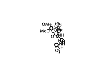 C=CC(=O)Nc1ccccc1Nc1nccc(-c2cc3c([nH]2)C2(CCCN(C(=O)OC(C)(C)C)C2)CN(Cc2c(OC)cc(OC)cc2OC)C3=O)n1